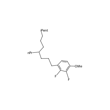 CCCC(C)CCCC(CCC)CCCc1ccc(OC)c(F)c1F